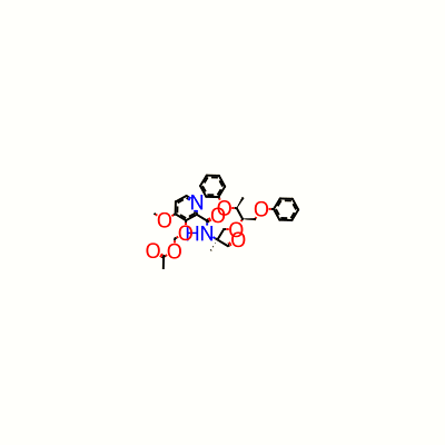 COc1ccnc(C(=O)N[C@](C)(C=O)CO[C@H](COc2ccccc2)[C@H](C)Oc2ccccc2)c1OCOC(C)=O